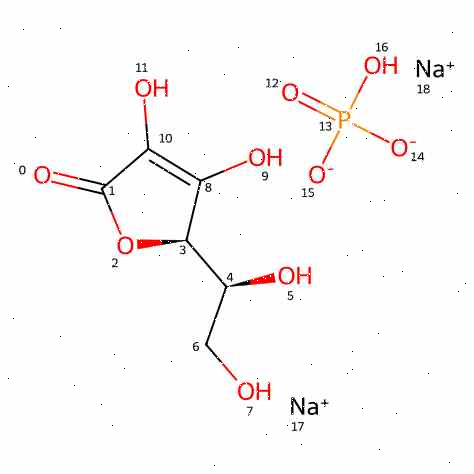 O=C1O[C@H]([C@@H](O)CO)C(O)=C1O.O=P([O-])([O-])O.[Na+].[Na+]